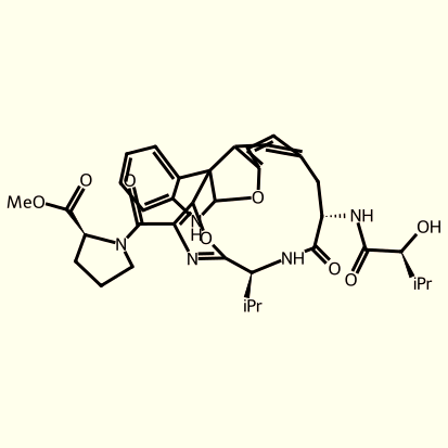 COC(=O)[C@@H]1CCCN1C(=O)c1nc2oc1C13c4ccccc4NC1Oc1ccc(cc13)C[C@H](NC(=O)[C@@H](O)C(C)C)C(=O)N[C@H]2C(C)C